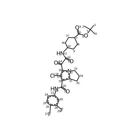 CC(C)(C)OC(=O)C1CCC(NC(=O)C(=O)c2c(Cl)c(C(=O)Nc3ccc(F)c(F)c3)c3n2CCC3)CC1